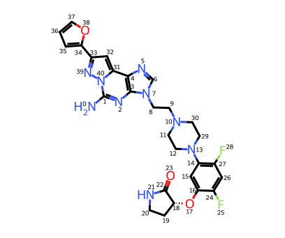 Nc1nc2c(ncn2CCN2CCN(c3cc(O[C@@H]4CCNC4=O)c(F)cc3F)CC2)c2cc(-c3ccco3)nn12